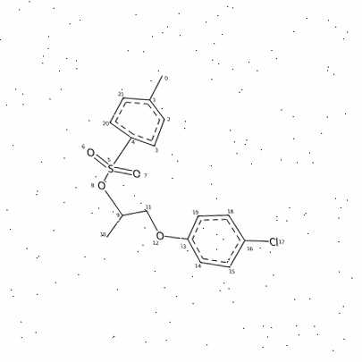 Cc1ccc(S(=O)(=O)OC(C)COc2ccc(Cl)cc2)cc1